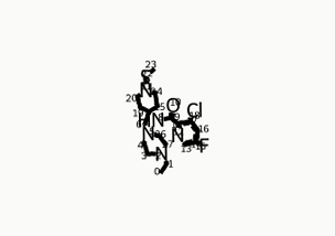 CCN1CCN(CC2(NC(=O)c3ncc(F)cc3Cl)CCN(SC)CC2)CC1